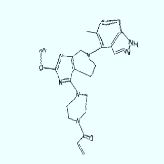 C=CC(=O)N1CCN(c2nc(OCCC)nc3c2CCN(c2c(C)ccc4[nH]ncc24)C3)CC1